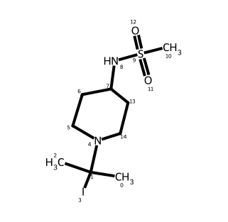 CC(C)(I)N1CCC(NS(C)(=O)=O)CC1